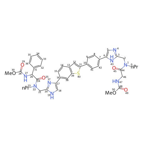 CCCN(Cc1ncc(-c2ccc(-c3cc4ccc(-c5c[nH]c(CN(CCC)C(=O)C(NC(=O)OC)c6ccccc6)n5)cc4s3)cc2)[nH]1)C(=O)CNC(=O)OC